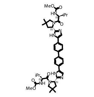 COC(=O)N[C@H](C(=O)N1CC(C)(C)C[C@H]1c1ncc(-c2ccc(-c3ccc(-c4cnc([C@@H]5CC(C)(C)CN5C(=O)[C@@H](NC(=O)OC)C(C)C)[nH]4)cc3)cc2)[nH]1)C(C)C